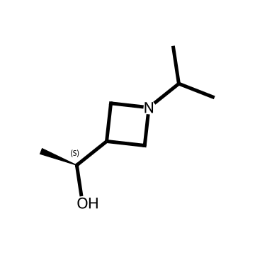 CC(C)N1CC([C@H](C)O)C1